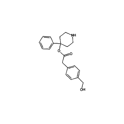 O=C(Cc1ccc(CO)cc1)OC1(c2ccccc2)CCNCC1